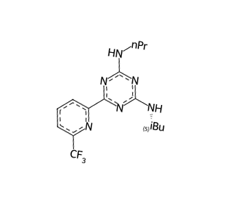 CCCNc1nc(N[C@@H](C)CC)nc(-c2cccc(C(F)(F)F)n2)n1